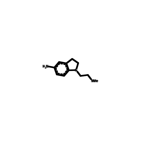 CNCCN1CCc2cc(N)ccc21